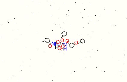 Cc1cccc(C(=O)NC[C@H]2O[C@@H](OCc3ccccc3)[C@]3(CNC(=O)c4cccc(OCc5ccccc5)c4)OC(C)(C)O[C@H]23)c1